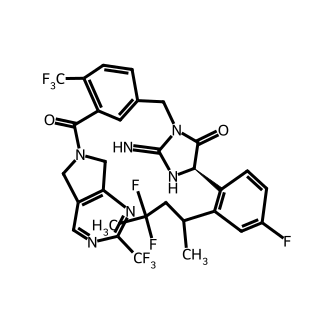 CC(CC(C)(F)F)c1cc(F)ccc1[C@H]1NC(=N)N(Cc2ccc(C(F)(F)F)c(C(=O)N3Cc4cnc(C(F)(F)F)nc4C3)c2)C1=O